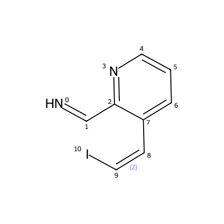 N=Cc1ncccc1/C=C\I